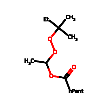 CCCCCC(=O)OC(C)OOC(C)(C)CC